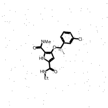 CCNC(=O)c1cc(O[C@@H](C)c2cccc(Cl)c2)c(C(=O)NC)[nH]1